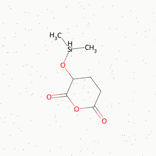 C[SiH](C)OC1CCC(=O)OC1=O